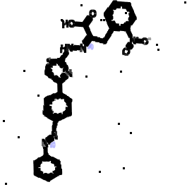 O=C(O)/C(Cc1ccccc1[N+](=O)[O-])=N\Nc1nc(-c2ccc(/N=N/c3ccccc3)cc2)cs1